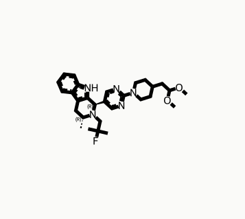 COC(CC1CCN(c2ncc([C@@H]3c4[nH]c5ccccc5c4C[C@@H](C)N3CC(C)(C)F)cn2)CC1)OC